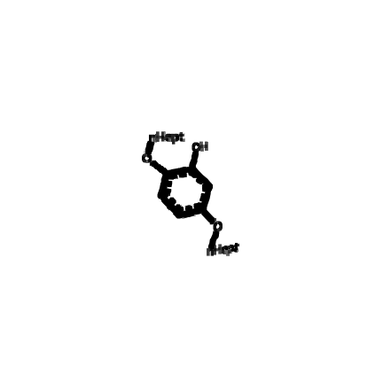 CCCCCCCOc1ccc(OCCCCCCC)c(O)c1